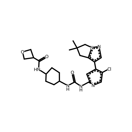 CC1(C)Cc2c(-c3cc(NC(=O)NC4CCC(NC(=O)C5COC5)CC4)ncc3Cl)cnn2C1